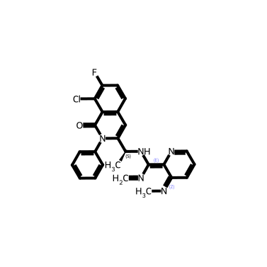 C=N/C(N[C@@H](C)c1cc2ccc(F)c(Cl)c2c(=O)n1-c1ccccc1)=C1/N=CC=C/C1=N/C